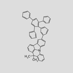 CC1(C)c2ccccc2-n2c3ccc(-c4cccc(-c5c(-c6ccccc6)cc(-c6ccccc6)cc5-c5ccccc5)c4)cc3c3cccc1c32